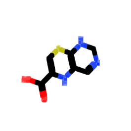 O=C(O)C1=CSC2=C(C=NCN2)N1